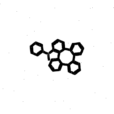 CN(c1ccccc1)c1cccc2c1-c1ccccc1-c1ccccc1-c1ccccc1-2